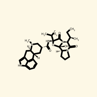 CC[C@@H](C)[C@H]1C(=O)N2CCC[C@H]2[C@]2(O)O[C@](NC(=O)[C@@H]3C[C@@H]4c5cccc6[nH]cc(c56)C[C@H]4N(C)C3)(C(C)C)C(=O)N12